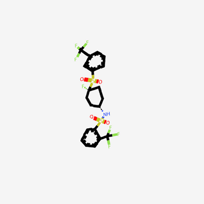 O=S(=O)(N[C@H]1CC[C@](F)(S(=O)(=O)c2cccc(C(F)(F)F)c2)CC1)c1ccccc1C(F)(F)F